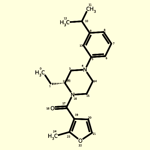 CC[C@@H]1CN(c2cc[c]c(C(C)C)c2)CCN1C(=O)c1ccoc1C